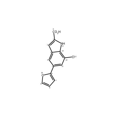 O=C(O)c1cc2cc(-c3ccco3)cc(Cl)c2[nH]1